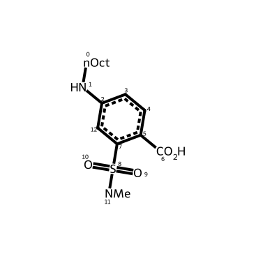 CCCCCCCCNc1ccc(C(=O)O)c(S(=O)(=O)NC)c1